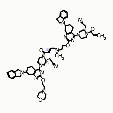 C=CC(=O)N1CCN(c2nc(OCCN(C)C/C=C/C(=O)N3CCN(c4nc(OCCN5CCOCC5)nc5c4CCC(N4Cc6ccccc6C4)C5)C[C@@H]3CC#N)nc3c2CCC(N2CCc4ccccc42)C3)C[C@@H]1CC#N